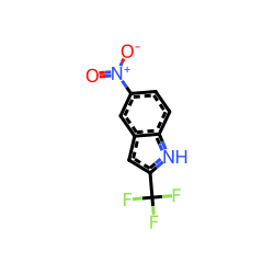 O=[N+]([O-])c1ccc2[nH]c(C(F)(F)F)cc2c1